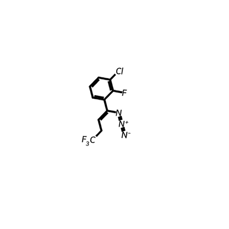 [N-]=[N+]=NC(=CCC(F)(F)F)c1cccc(Cl)c1F